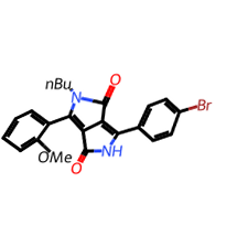 CCCCN1C(=O)C2=C(c3ccc(Br)cc3)NC(=O)C2=C1c1ccccc1OC